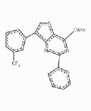 COc1nc(-c2ccccn2)nc2c(-c3cccc(C(F)(F)F)c3)csc12